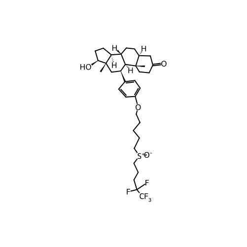 C[C@]12CCC(=O)C[C@@H]1CC[C@@H]1[C@@H]2[C@@H](c2ccc(OCCCCC[S+]([O-])CCCC(F)(F)C(F)(F)F)cc2)C[C@]2(C)[C@@H](O)CC[C@@H]12